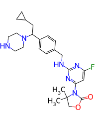 CC1(C)COC(=O)N1c1cc(F)nc(NCc2ccc(C(CC3CC3)N3CCNCC3)cc2)n1